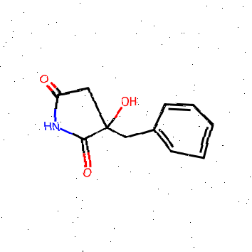 O=C1CC(O)(Cc2ccccc2)C(=O)N1